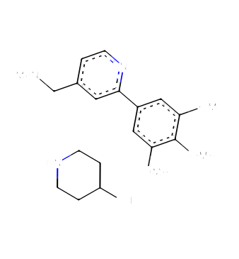 CC1CCNCC1.CNCc1ccnc(-c2cc(OC)c(OC)c(OC)c2)c1